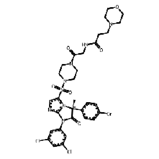 C[C@@]1(c2ccc(Br)cc2)C(=O)N(c2cc(Cl)cc(Cl)c2)c2ncc(S(=O)(=O)N3CCN(C(=O)CNC(=O)CCN4CCOCC4)CC3)n21